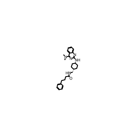 CN(C)c1nc(N[C@H]2CC[C@@H](CNC(=O)CCCc3ccccc3)CC2)nc2ccccc12